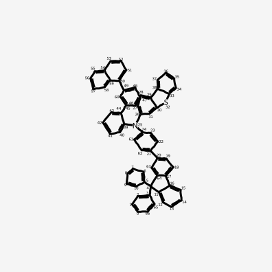 c1ccc(C2(c3ccccc3)c3ccccc3-c3ccc(-c4ccc(N(c5ccc6c(c5)sc5ccccc56)c5ccccc5-c5cccc(-c6cccc7ccccc67)c5)cc4)cc32)cc1